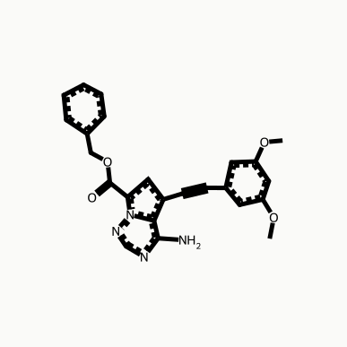 COc1cc(C#Cc2cc(C(=O)OCc3ccccc3)n3ncnc(N)c23)cc(OC)c1